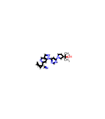 CC(C)(O)[C@@H]1CCN(c2cc(-n3ncc4cnc([C@@]5(C#N)CC56CC6)cc43)ncn2)C1